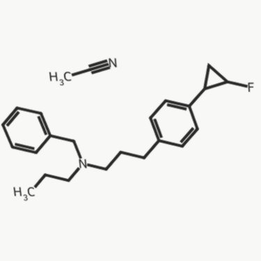 CC#N.CCCN(CCCc1ccc(C2CC2F)cc1)Cc1ccccc1